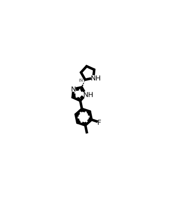 Cc1ccc(-c2cnc([C@@H]3CCCN3)[nH]2)cc1F